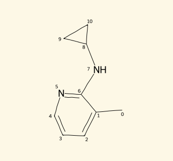 Cc1cccnc1NC1CC1